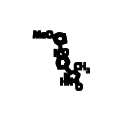 COc1cccc(-c2nc3ccc(C4=NNC(=O)CC4C)cc3o2)c1